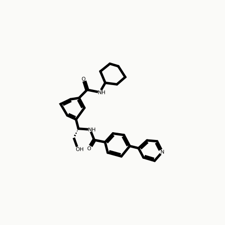 O=C(NC1CCCCC1)c1cccc([C@@H](CO)NC(=O)c2ccc(-c3ccncc3)cc2)c1